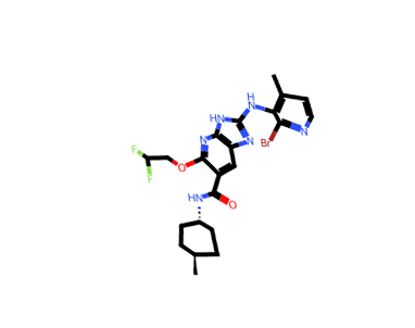 Cc1ccnc(Br)c1Nc1nc2cc(C(=O)N[C@H]3CC[C@H](C)CC3)c(OCC(F)F)nc2[nH]1